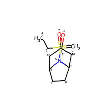 C=S(=O)(CC)N1C2CCC1CC(=O)C2